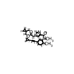 Cc1ccc(C#CC2CC2)cc1N(C)C(=O)c1cn(CC2OCC3(CC3)CO2)cn1